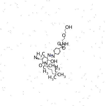 Cc1c(/N=N/c2ccc(S(=O)(=O)NCCOCCO)cc2)c(O)n(C(C)(C)CCCC(C)(C)C)c(=O)c1C#N